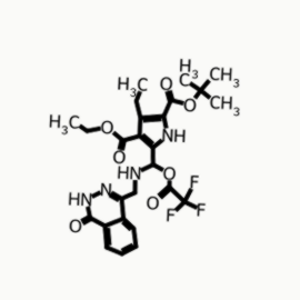 CCOC(=O)c1c(C(NCc2n[nH]c(=O)c3ccccc23)OC(=O)C(F)(F)F)[nH]c(C(=O)OC(C)(C)C)c1CC